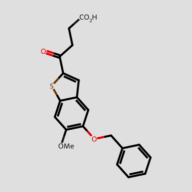 COc1cc2sc(C(=O)CCC(=O)O)cc2cc1OCc1ccccc1